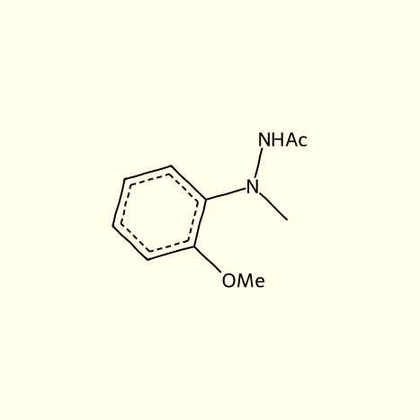 COc1ccccc1N(C)NC(C)=O